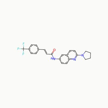 O=C(C=Cc1ccc(C(F)(F)F)cc1)Nc1ccc2nc(N3CCCC3)ccc2c1